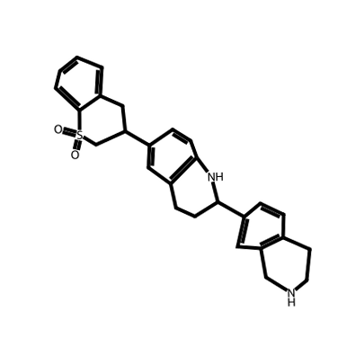 O=S1(=O)CC(c2ccc3c(c2)CCC(c2ccc4c(c2)CNCC4)N3)Cc2ccccc21